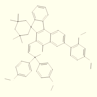 COc1ccc(C2(c3ccc(OC)cc3)C=Cc3c4c(c5ccc(-c6ccc(OC)cc6OC)cc5c3O2)-c2ccccc2C42CC(C)(C)CC(C)(C)C2)cc1